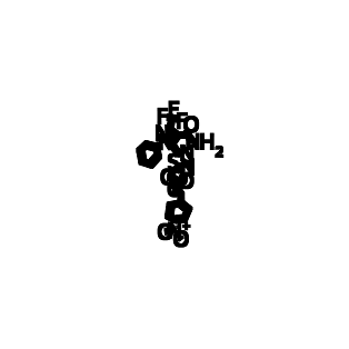 NC(=O)c1c(C(F)(F)F)nn(-c2ccccc2)c1-c1nnc(S(=O)(=O)OCc2ccc([N+](=O)[O-])cc2)s1